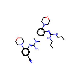 CCCNC(=Nc1ccccc1N1CCOCC1)NCCC.CN(C)/C(N)=N/c1cc(C#N)ccc1N1CCOCC1